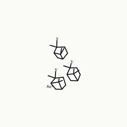 CC1([S-])CCC2CC1C2(C)C.CC1([S-])CCC2CC1C2(C)C.CC1([S-])CCC2CC1C2(C)C.[Au+3]